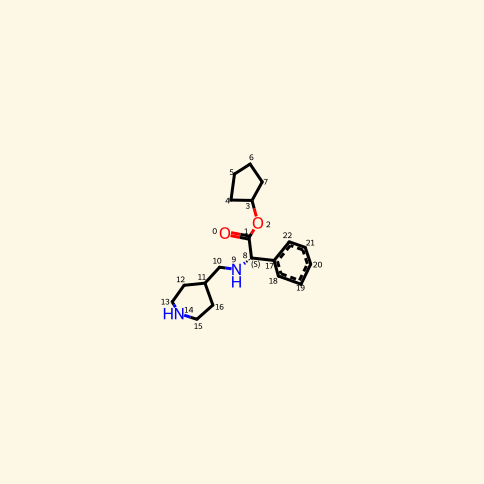 O=C(OC1CCCC1)[C@@H](NCC1CCNCC1)c1ccccc1